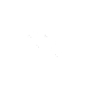 CC(=O)NC1CCN(c2ccc(N(Cc3ccccc3)Sc3ccccc3)cc2C#N)C1